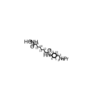 CC(C)N(C)Cc1ccc(NC(=O)CCCCCCC(=O)NO)cc1